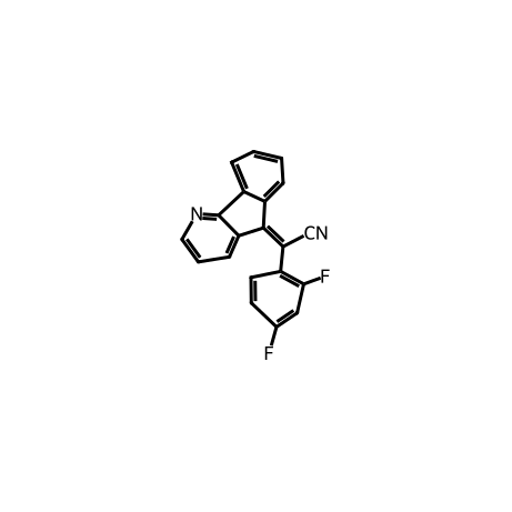 N#C/C(=C1\c2ccccc2-c2ncccc21)c1ccc(F)cc1F